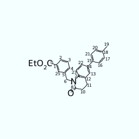 CCOC(=O)c1cccc(CN2C(=O)CCc3cc(-c4ccc(C)cc4)ccc32)c1